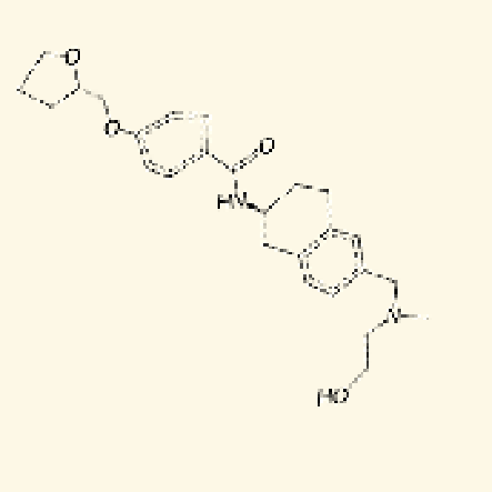 CN(CCO)Cc1ccc2c(c1)CC[C@H](NC(=O)c1ccc(OC[C@@H]3CCCO3)cc1)C2